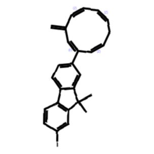 C=C1/C=C\C=C/C/C=C\C(c2ccc3c(c2)C(C)(C)c2cc(I)ccc2-3)=C/1